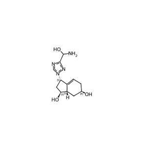 NC(O)c1ncn([C@H]2C[C@H](O)[C@H]3C[C@H](O)CC=C32)n1